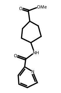 COC(=O)C1CCC(NC(=O)c2ccccn2)CC1